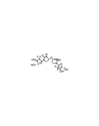 O=C1NC(OC2CCN([C@@H]3O[C@H](CO)[C@@H](O)C3(F)F)C(=O)N2)CCN1[C@@H]1O[C@H](CO)[C@@H](O)C1(F)F